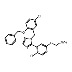 COCOc1ccc(Cl)c(-c2nnnn2Cc2cc(Cl)ccc2OCc2ccccc2)c1